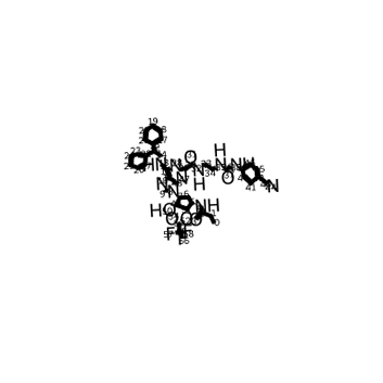 CCC(=O)N[C@H]1C[C@@H](n2cnc3c(NCC(c4ccccc4)c4ccccc4)nc(C(=O)NCCNC(=O)Nc4ccc(C#N)cc4)nc32)[C@H](O)[C@@H]1OC(=O)C(F)(F)F